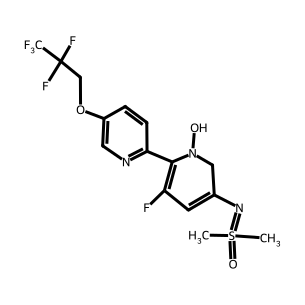 CS(C)(=O)=NC1=CC(F)=C(c2ccc(OCC(F)(F)C(F)(F)F)cn2)N(O)C1